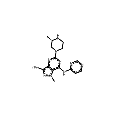 CCCc1nn(C)c2c(Nc3ccncn3)nc(N3CCN[C@H](C)C3)nc12